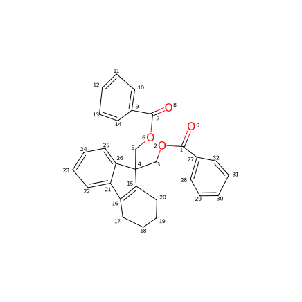 O=C(OCC1(COC(=O)c2ccccc2)C2=C(CCCC2)c2ccccc21)c1ccccc1